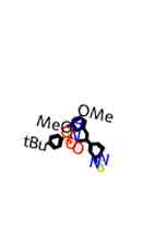 COc1cc(CC(C(=O)NS(=O)(=O)c2ccc(C(C)(C)C)cc2)c2ccc3nsnc3c2)cc(OC)c1